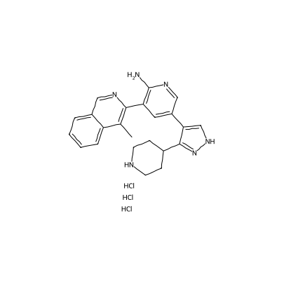 Cc1c(-c2cc(-c3c[nH]nc3C3CCNCC3)cnc2N)ncc2ccccc12.Cl.Cl.Cl